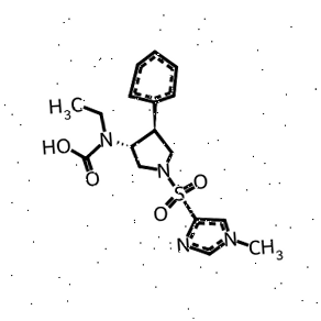 CCN(C(=O)O)[C@H]1CN(S(=O)(=O)c2cn(C)cn2)C[C@@H]1c1ccccc1